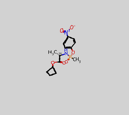 C[C@H](NP(C)(=O)Oc1ccc([N+](=O)[O-])cc1)C(=O)OC1CCC1